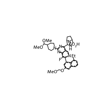 CCc1cccc2cc(OCOC)cc(-c3ncc4c(C5NCC6CCC5N6C(=O)O)nc(N5CCC(C(OC)OC)CC5)nc4c3F)c12